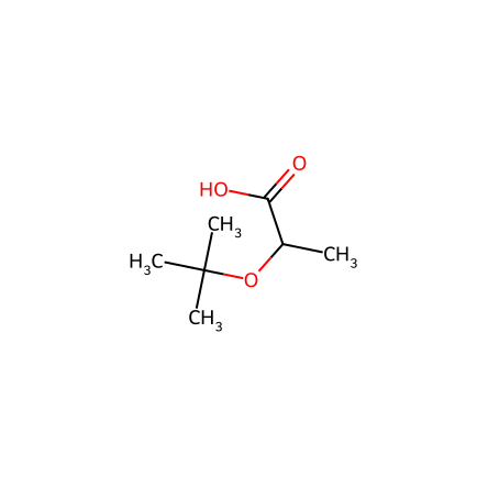 CC(OC(C)(C)C)C(=O)O